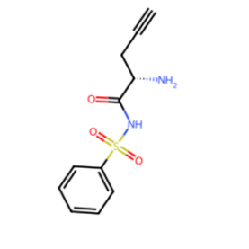 C#CC[C@H](N)C(=O)NS(=O)(=O)c1ccccc1